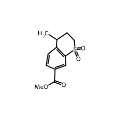 COC(=O)c1ccc2c(c1)S(=O)(=O)CCC2C